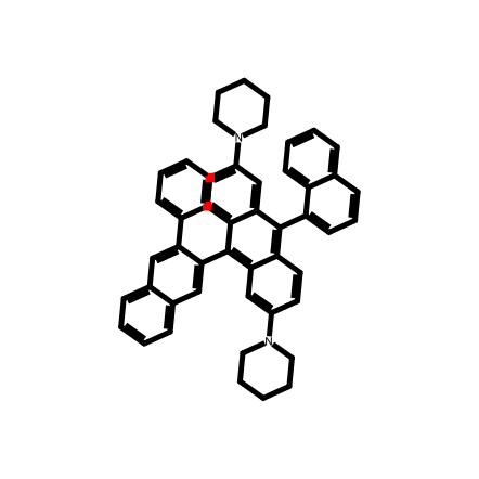 c1ccc(-c2cc3ccccc3cc2-c2c3cc(N4CCCCC4)ccc3c(-c3cccc4ccccc34)c3cc(N4CCCCC4)ccc23)cc1